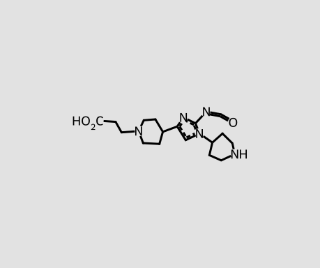 O=C=Nc1nc(C2CCN(CCC(=O)O)CC2)cn1C1CCNCC1